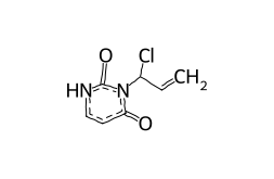 C=CC(Cl)n1c(=O)cc[nH]c1=O